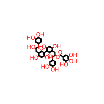 O=C(OC1Cc2c(O)cc(O)c(-c3c(O)cc(O)c4c3OC(c3ccc(O)c(O)c3)C(O)C4)c2OC1c1ccc(O)c(O)c1)c1cc(O)c(O)c(O)c1